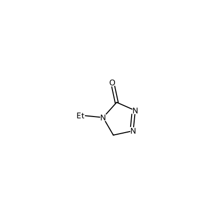 CCN1CN=NC1=O